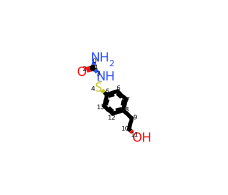 NC(=O)NSc1ccc(CCO)cc1